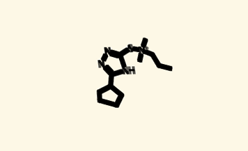 CCC[N+](C)(C)Sc1nnc(C2CCCC2)[nH]1